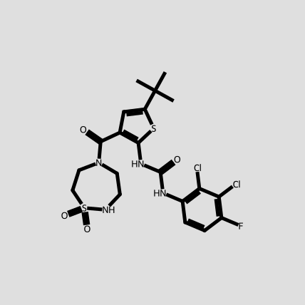 CC(C)(C)c1cc(C(=O)N2CCNS(=O)(=O)CC2)c(NC(=O)Nc2ccc(F)c(Cl)c2Cl)s1